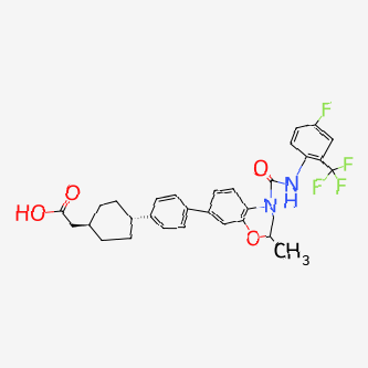 CC1CN(C(=O)Nc2ccc(F)cc2C(F)(F)F)c2ccc(-c3ccc([C@H]4CC[C@H](CC(=O)O)CC4)cc3)cc2O1